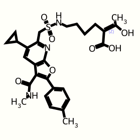 CNC(=O)c1c(-c2ccc(C)cc2)oc2nc(CS(=O)(=O)NCCCC/C(C(=O)O)=C(\C)O)c(C3CC3)cc12